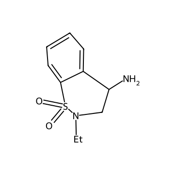 CCN1CC(N)c2ccccc2S1(=O)=O